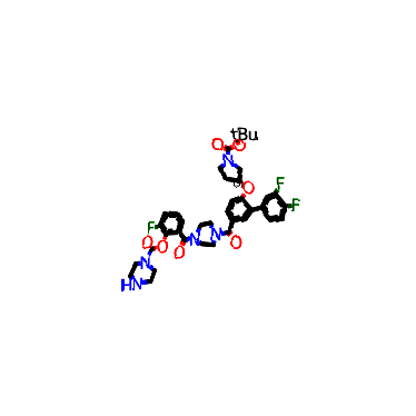 CC(C)(C)OC(=O)N1CC[C@H](Oc2ccc(C(=O)N3CCN(C(=O)c4cccc(F)c4OC(=O)N4CCNCC4)CC3)cc2-c2ccc(F)c(F)c2)C1